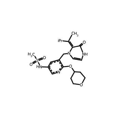 C/C(=C1\C(=O)NC=CN1Cc1cc(NS(C)(=O)=O)cnc1OC1CCOCC1)C(C)C